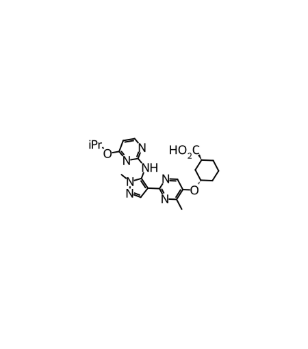 Cc1nc(-c2cnn(C)c2Nc2nccc(OC(C)C)n2)ncc1O[C@H]1CCC[C@H](C(=O)O)C1